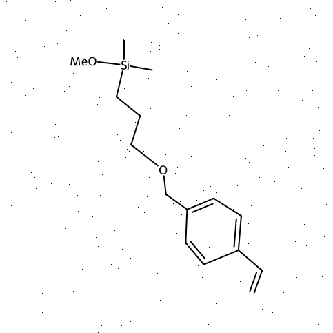 C=Cc1ccc(COCCC[Si](C)(C)OC)cc1